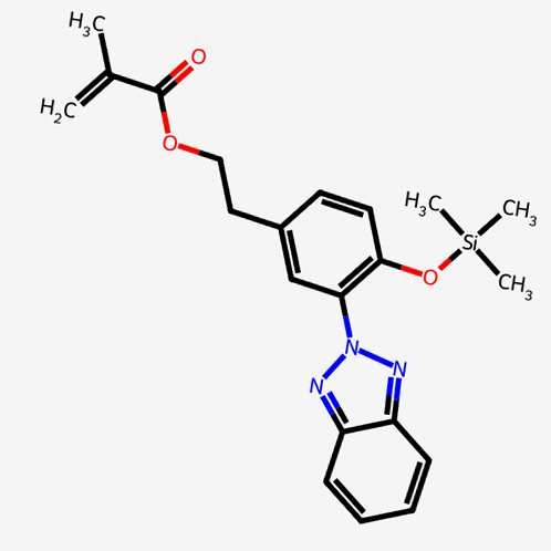 C=C(C)C(=O)OCCc1ccc(O[Si](C)(C)C)c(-n2nc3ccccc3n2)c1